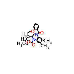 CCOC(=O)N1c2cc(C)c(C)cc2N(C(=O)c2ccccc2OCC)CC1CC